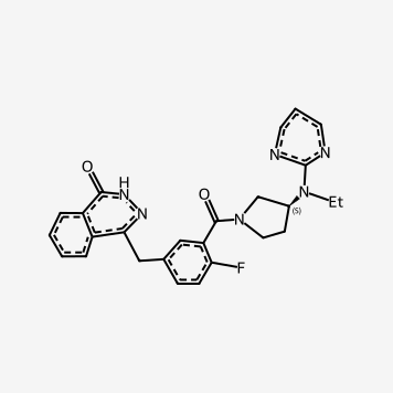 CCN(c1ncccn1)[C@H]1CCN(C(=O)c2cc(Cc3n[nH]c(=O)c4ccccc34)ccc2F)C1